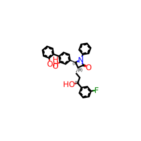 O=C1[C@H](CC[C@H](O)c2cccc(F)c2)[C@@H](c2ccc(-c3ccccc3O)c(O)c2)N1c1ccccc1